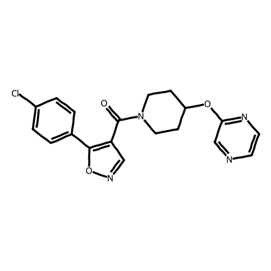 O=C(c1cnoc1-c1ccc(Cl)cc1)N1CCC(Oc2cnccn2)CC1